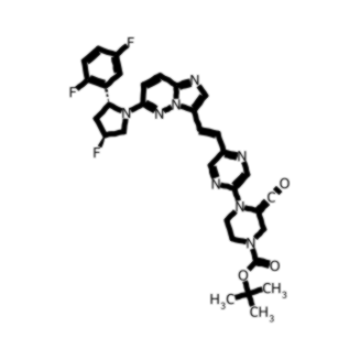 CC(C)(C)OC(=O)N1CCN(c2cnc(/C=C/c3cnc4ccc(N5C[C@@H](F)C[C@@H]5c5cc(F)ccc5F)nn34)cn2)C(=C=O)C1